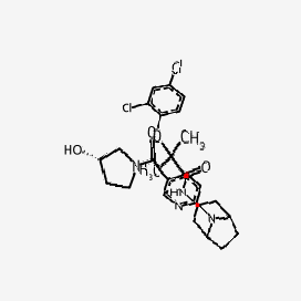 CC(C)(Oc1ccc(Cl)cc1Cl)C(=O)NC1CC2CCC(C1)N2c1ccc(C(=O)N2CC[C@H](O)C2)cn1